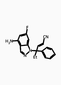 CCC(/C=C/C#N)(c1ccccc1)n1ncc2c(N)cc(F)cc21